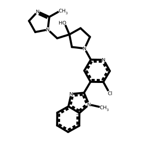 CC1=NCCN1CC1(O)CCN(c2cc(-c3nc4ccccc4n3C)c(Cl)cn2)C1